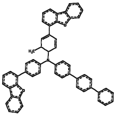 CC1C=C(c2cccc3c2oc2ccccc23)C=CC1N(c1ccc(-c2ccc(-c3ccccc3)cc2)cc1)c1ccc(-c2cccc3c2oc2ccccc23)cc1